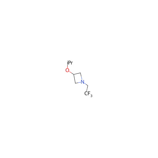 CC(C)OC1CN(CC(F)(F)F)C1